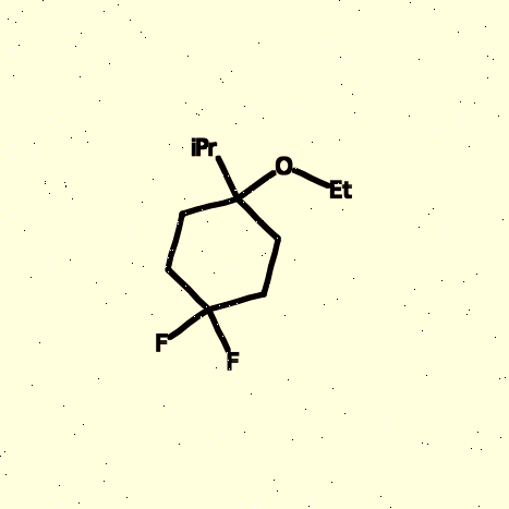 CCOC1(C(C)C)CCC(F)(F)CC1